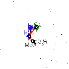 COC[C@]1(C(=O)O)CC[C@H](Oc2ccc(NC(=O)c3nnc(Nc4cc(F)c(F)cc4F)o3)cn2)CC1